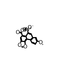 COc1ccc2c(c1)cc([N+](=O)[O-])c1c(C(=O)O)cc3c(c12)OCO3